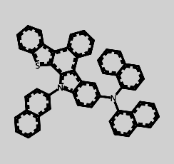 c1ccc2cc(-n3c4ccc(N(c5cccc6ccccc56)c5cccc6ccccc56)cc4c4c5ccccc5c5c6ccccc6sc5c43)ccc2c1